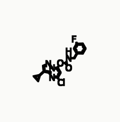 O=C(NCc1cccc(F)c1)Oc1cc(Cl)nc2c(C3CC3)cnn12